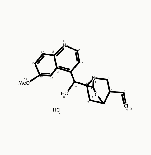 C=CC1CN2CCC1CC2C(O)c1ccnc2ccc(OC)cc12.Cl